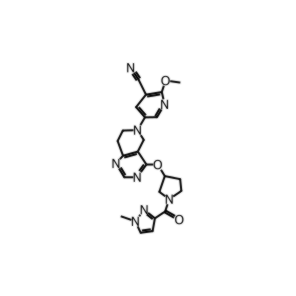 COc1ncc(N2CCc3ncnc(OC4CCN(C(=O)c5ccn(C)n5)C4)c3C2)cc1C#N